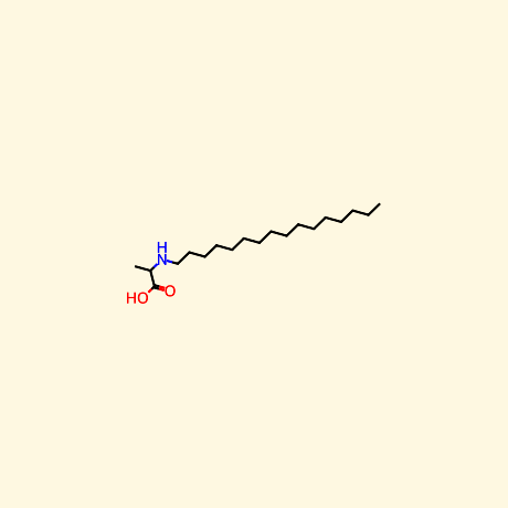 CCCCCCCCCCCCCCCCNC(C)C(=O)O